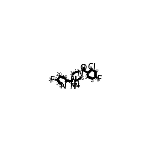 O=C(c1ccc(F)cc1Cl)N1CCn2c(nnc2-c2ccc(F)cn2)C1